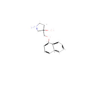 OC1(COc2cccc3ccccc23)CCNC1